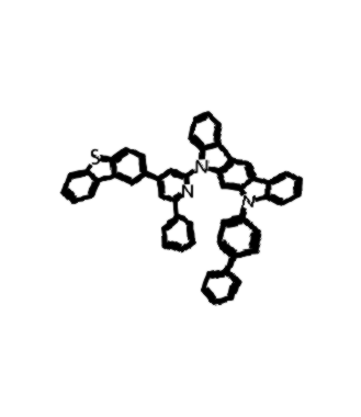 c1ccc(-c2ccc(-n3c4ccccc4c4cc5c6ccccc6n(-c6cc(-c7ccc8sc9ccccc9c8c7)cc(-c7ccccc7)n6)c5cc43)cc2)cc1